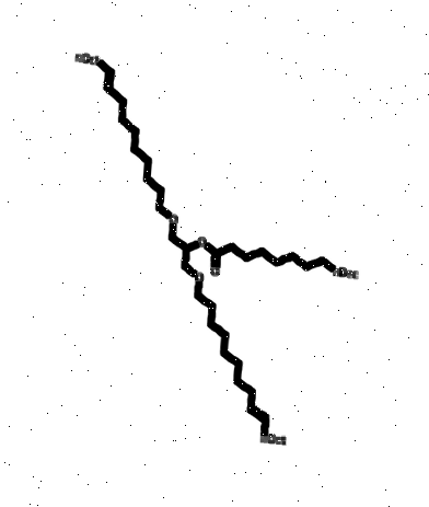 CCCCCCCCC=CCCCCCCCCOCC(COCCCCCCCCC=CCCCCCCCC)OC(=O)CCCCCCCCCCCCCCCCC